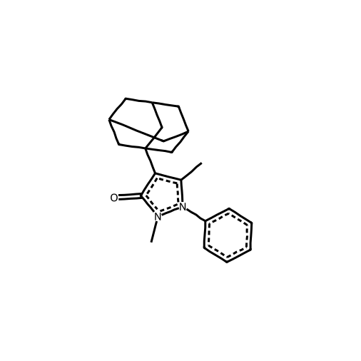 Cc1c(C23CC4CC(CC(C4)C2)C3)c(=O)n(C)n1-c1ccccc1